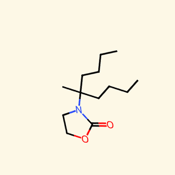 CCCCC(C)(CCCC)N1CCOC1=O